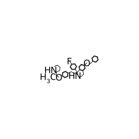 CC(Oc1ccc(CCC2(c3ccc(F)cc3)NCCc3cc(OCc4ccccc4)ccc32)cc1)C1CCCCN1